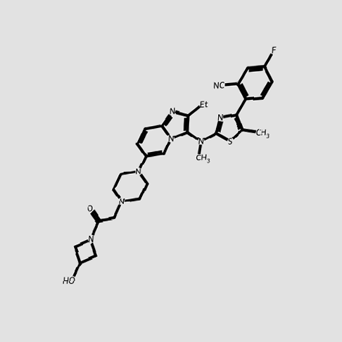 CCc1nc2ccc(N3CCN(CC(=O)N4CC(O)C4)CC3)cn2c1N(C)c1nc(-c2ccc(F)cc2C#N)c(C)s1